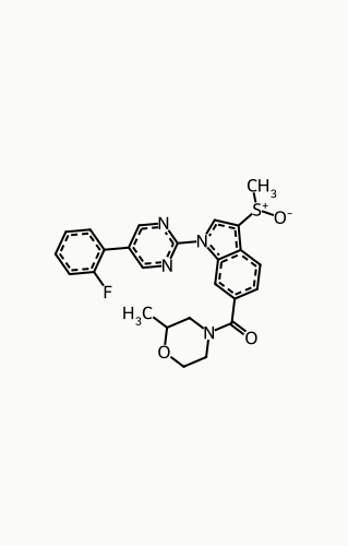 CC1CN(C(=O)c2ccc3c([S+](C)[O-])cn(-c4ncc(-c5ccccc5F)cn4)c3c2)CCO1